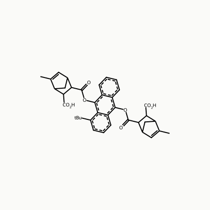 CC1=CC2CC1C(C(=O)O)C2C(=O)Oc1c2ccccc2c(OC(=O)C2C3C=C(C)C(C3)C2C(=O)O)c2c(C(C)(C)C)cccc12